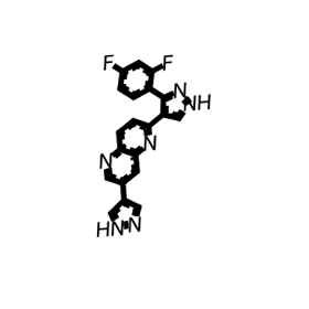 Fc1ccc(-c2n[nH]cc2-c2ccc3ncc(-c4cn[nH]c4)cc3n2)c(F)c1